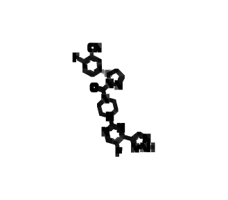 N#Cc1cc([C@@H]2CC=NN2C(=O)N2CCN(c3ncc(F)c(-c4cn[nH]n4)n3)CC2)ccc1F